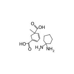 CC1(C(=O)O)C=CC=C(C(=O)O)C1.NC1(N)CCCCC1